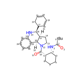 CC(C)(C)C(=O)N[C@@H]1CCCC[C@@H]1C(=O)N1CC[C@@H]2[C@H](C3C=CC=CC3)Nc3ccccc3[C@@H]21